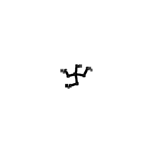 CO[Si]([SeH])(OC)OC